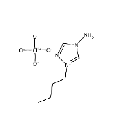 CCCC[n+]1cn(N)cn1.[O-][Cl+3]([O-])([O-])[O-]